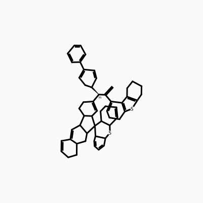 C=C(C1=CCCc2sc3c(c21)CCCC3)[C@@H](C1=CC2C(CC1)C1C=C3C=CCCC3CC1C21C2C=CC=CC2SC2C=CCCC21)C1C=CC(c2ccccc2)=CC1